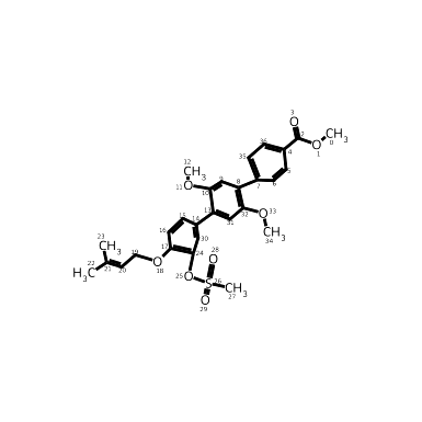 COC(=O)c1ccc(-c2cc(OC)c(-c3ccc(OCC=C(C)C)c(OS(C)(=O)=O)c3)cc2OC)cc1